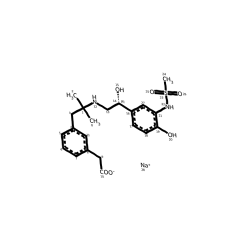 CC(C)(Cc1cccc(CC(=O)[O-])c1)NC[C@H](O)c1ccc(O)c(NS(C)(=O)=O)c1.[Na+]